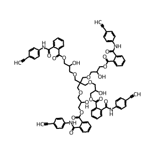 C#Cc1ccc(NC(=O)c2ccccc2C(=O)OCC(O)COCC(COCC(O)COC(=O)c2ccccc2C(=O)Nc2ccc(C#C)cc2)(COCC(O)COC(=O)c2ccccc2C(=O)Nc2ccc(C#C)cc2)COCC(O)COC(=O)c2ccccc2C(=O)Nc2ccc(C#C)cc2)cc1